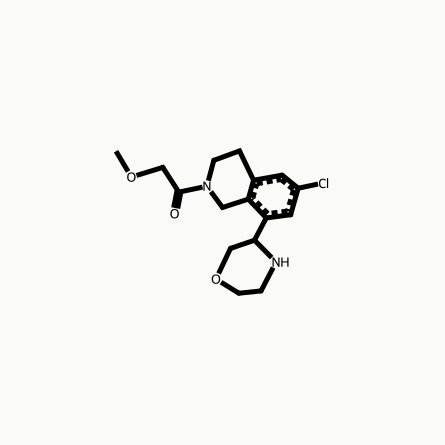 COCC(=O)N1CCc2cc(Cl)cc(C3COCCN3)c2C1